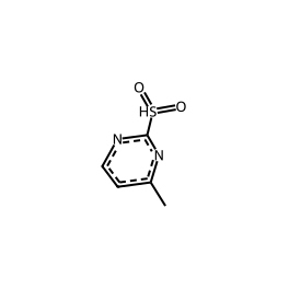 Cc1ccnc([SH](=O)=O)n1